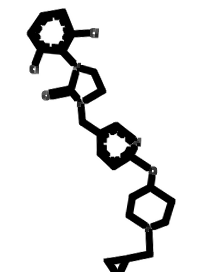 O=C1N(Cc2ccc(OC3CCN(CC4CC4)CC3)nc2)CCN1c1c(Cl)cccc1Cl